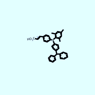 Cc1cc(C)c(N(c2ccc(/C=C/C(=O)O)cc2)c2ccc(C(c3ccccc3)c3ccccc3)cc2)c(C)c1